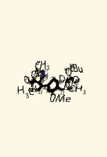 C=N/C=C\c1c(-c2cc(OC)c(CN(C)CC(=O)OC(C)(C)C)c(OC)c2)cn(C)c(=O)c1C